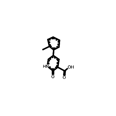 Cc1ccccc1-c1c[nH]c(=O)c(C(=O)O)c1